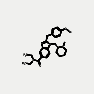 CCOc1ccc(Cc2nc3cc(C(=O)N(CC(F)(F)F)CC(F)(F)F)ccc3n2C[C@@H]2CCCCN2C)cc1